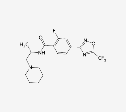 CC(CN1CCCCC1)NC(=O)c1ccc(-c2noc(C(F)(F)F)n2)cc1F